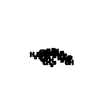 CC1(C)CCC(C)(C)c2cc(-c3cnc(-c4ccc(C(=O)O)cc4)s3)ccc21